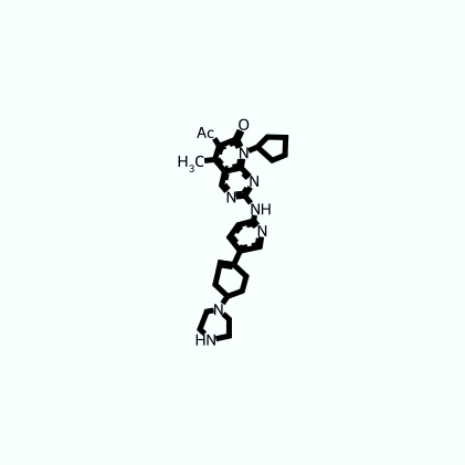 CC(=O)c1c(C)c2cnc(Nc3ccc(C4=CCC(N5CCNCC5)CC4)cn3)nc2n(C2CCCC2)c1=O